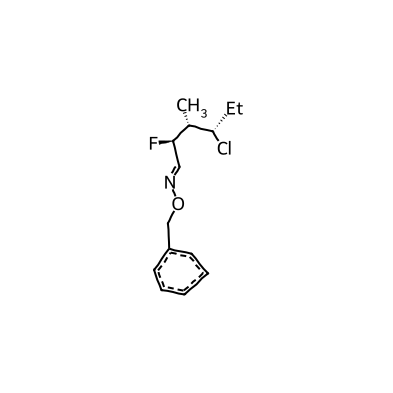 CC[C@H](Cl)[C@@H](C)[C@H](F)C=NOCc1ccccc1